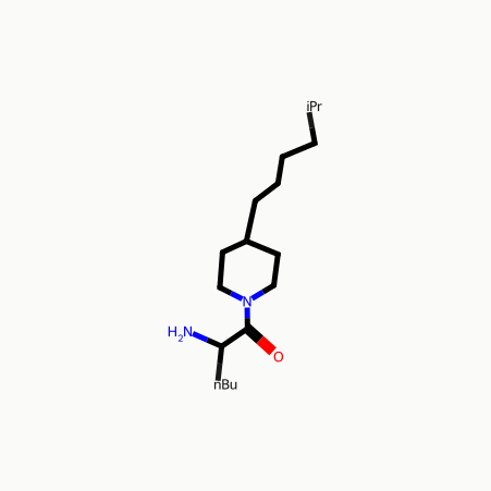 CCCCC(N)C(=O)N1CCC(CCCCC(C)C)CC1